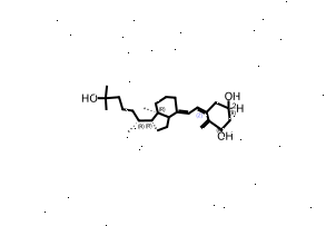 [2H][C@@]1(O)C/C(=C/C=C2CCC[C@@]3(C)C2CC[C@@H]3[C@H](C)CCCC(C)(C)O)C(=C)[C@H](O)C1